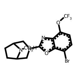 O=C(O)N1C2CCC1CN(c1nc3c(OC(F)(F)F)ccc(Br)c3o1)C2